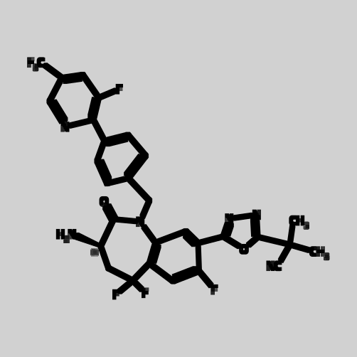 CC(C)(C#N)c1nnc(-c2cc3c(cc2F)C(F)(F)C[C@@H](N)C(=O)N3Cc2ccc(-c3ncc(C(F)(F)F)cc3F)cc2)o1